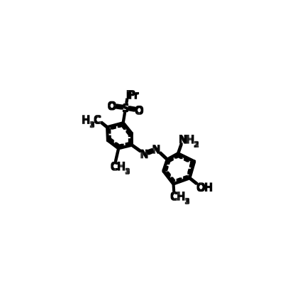 Cc1cc(/N=N/c2cc(S(=O)(=O)C(C)C)c(C)cc2C)c(N)cc1O